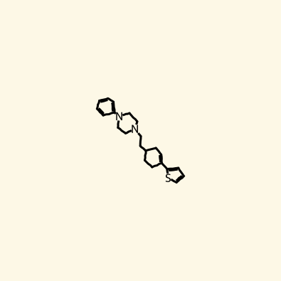 C1=C(c2cccs2)CCC(CCN2CCN(c3ccccc3)CC2)C1